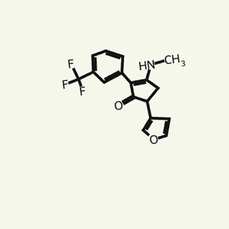 CNC1=C(c2cccc(C(F)(F)F)c2)C(=O)C(c2ccoc2)C1